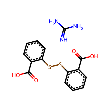 N=C(N)N.O=C(O)c1ccccc1SSc1ccccc1C(=O)O